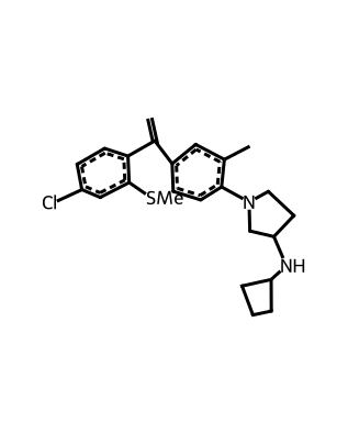 C=C(c1ccc(N2CCC(NC3CCC3)C2)c(C)c1)c1ccc(Cl)cc1SC